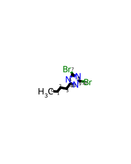 CCCCc1nc(Br)nc(Br)n1